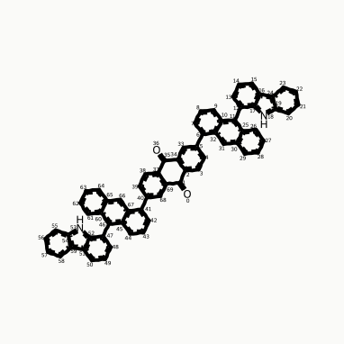 O=C1c2ccc(-c3cccc4c(-c5cccc6c5[nH]c5ccccc56)c5ccccc5cc34)cc2C(=O)c2ccc(-c3cccc4c(-c5cccc6c5[nH]c5ccccc56)c5ccccc5cc34)cc21